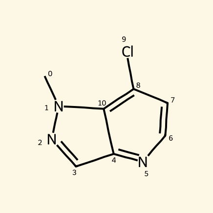 Cn1ncc2nccc(Cl)c21